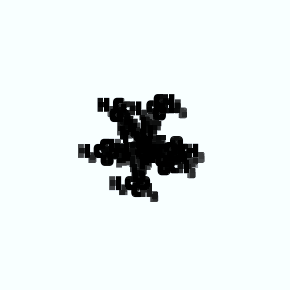 C=C(C)C(=O)OCCC(F)(F)C(F)(F)CO[Si](C[Si](OCC(F)(F)C(F)(F)C(F)(F)COC(=O)C(=C)C)(OCC(F)(F)C(F)(F)C(F)(F)COC(=O)C(=C)C)OCC(F)(F)C(F)(F)C(F)(F)COC(=O)C(=C)C)(OCC(F)(F)C(F)(F)C(F)(F)COC(=O)C(=C)C)OCC(F)(F)C(F)(F)C(F)(F)COC(=O)C(=C)C